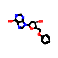 Oc1ncnc2c1ncn2[C@H]1C[C@H](O)[C@@H](COc2ccccc2)O1